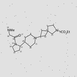 CCOC(=O)N1CCC2(CC(N3CCC(C4CCCN4C(=O)CNC)CC3)C2)C1